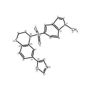 Cn1ccc2cc(S(=O)(=O)N3CCSc4ccc(-c5cnco5)cc43)ccc21